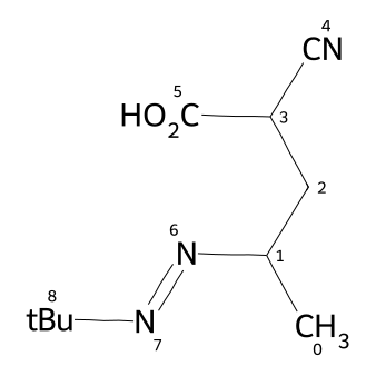 CC(CC(C#N)C(=O)O)N=NC(C)(C)C